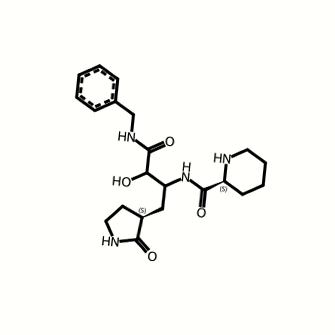 O=C(NCc1ccccc1)C(O)C(C[C@@H]1CCNC1=O)NC(=O)[C@@H]1CCCCN1